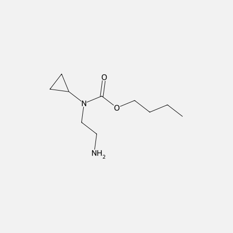 CCCCOC(=O)N(CCN)C1CC1